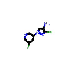 Nc1cn(-c2cncc(F)c2)nc1Br